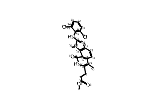 COC(=O)CCc1[nH]c(=O)c2c(ccc3nc(Nc4c(Cl)cccc4Cl)n(C)c32)c1C